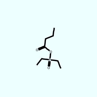 CCCC(=O)OP(=O)(CC)CC